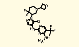 CNc1nc(Nc2cnn(C3CN(C4COC4)CCC3(F)F)c2Cl)ncc1C(F)(F)F